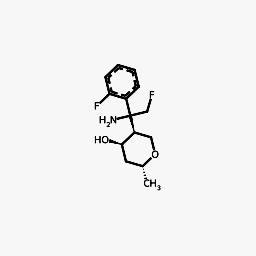 C[C@@H]1C[C@@H](O)[C@@H](C(N)(CF)c2ccccc2F)CO1